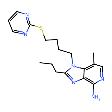 CCCc1nc2c(N)ncc(C)c2n1CCCCSc1ncccn1